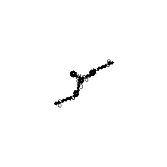 C=CC(=O)OCCCCCCOc1ccc(CCC(=O)Oc2ccc(OC(=O)CCc3ccc(OCCCCCCOC(=O)C=C)cc3)c3sc(-c4ccccc4)nc23)cc1